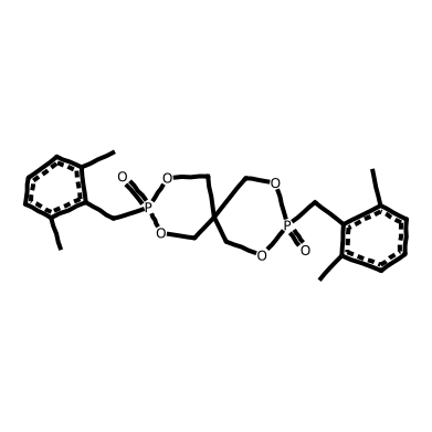 Cc1cccc(C)c1CP1(=O)OCC2(CO1)COP(=O)(Cc1c(C)cccc1C)OC2